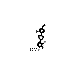 C=Cc1ccc(C2CCC(c3ccc(OC)c(F)c3F)CC2)c(F)c1